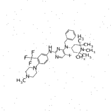 CN1CCN(c2ccc(Nc3ncc(F)c(N(Cc4ccccc4)C4CC(C)(C)N(C)C(C)(C)C4)n3)cc2C(F)(F)F)CC1